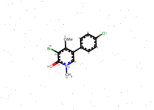 COc1c(-c2ccc(Cl)cc2)cn(C)c(=O)c1Br